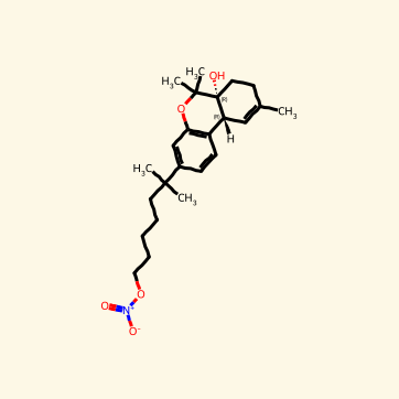 CC1=C[C@@H]2c3ccc(C(C)(C)CCCCCO[N+](=O)[O-])cc3OC(C)(C)[C@@]2(O)CC1